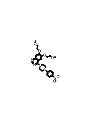 COCCOc1cc2ncnc(N3CCN(c4ccc([N+](=O)[O-])cc4)CC3)c2cc1OCCOC